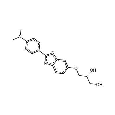 CN(C)c1ccc(-c2nc3ccc(OC[C@H](O)CO)cc3s2)cc1